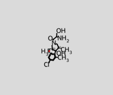 Cc1cc(Cl)cc(F)c1C1(O)[C@H](C)CN(C(=O)C(N)CO)C[C@@H]1C